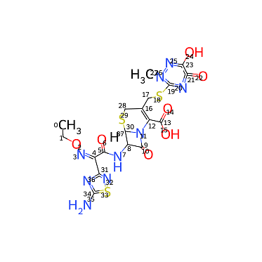 CCO/N=C(\C(=O)NC1C(=O)N2C(C(=O)O)=C(CSc3nc(=O)c(O)nn3C)CS[C@H]12)c1nsc(N)n1